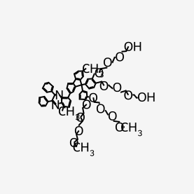 COCCOCCOCCOc1ccc(C2(c3ccc(COCCOCCOCCO)c(COCCOCCOCCO)c3)c3cc(C)ccc3-c3ccc(-c4ccc(C)c5nc(-c6ccccc6)c(-c6ccccc6)nc45)cc32)cc1OCCOCCOCCOC